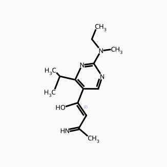 CCN(C)c1ncc(/C(O)=C/C(C)=N)c(C(C)C)n1